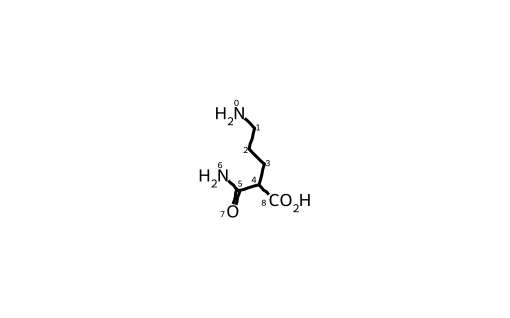 NCCCC(C(N)=O)C(=O)O